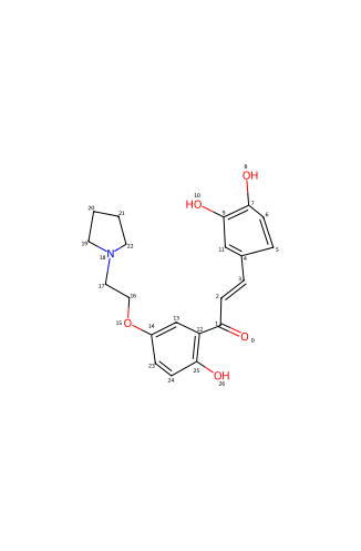 O=C(/C=C/c1ccc(O)c(O)c1)c1cc(OCCN2CCCC2)ccc1O